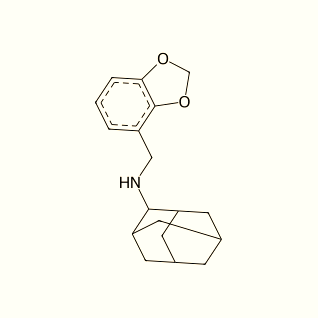 c1cc(CNC2C3CC4CC(C3)CC2C4)c2c(c1)OCO2